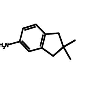 CC1(C)Cc2ccc(N)cc2C1